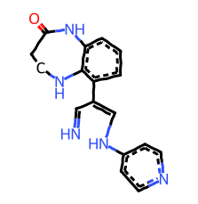 N=C/C(=C\Nc1ccncc1)c1cccc2c1NCCC(=O)N2